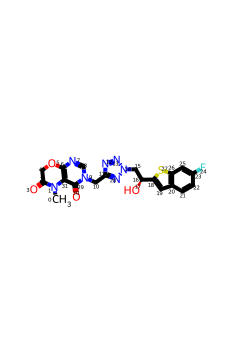 CN1C(=O)COc2ncn(Cc3nnn(C[C@H](O)c4cc5ccc(F)cc5s4)n3)c(=O)c21